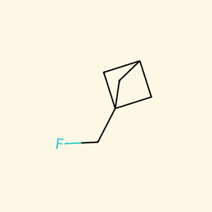 FCC12CC(C1)C2